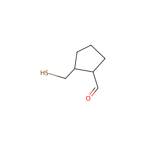 O=CC1CCCC1CS